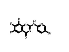 Fc1cc2c(=S)nc(Nc3ccc(Br)cn3)sc2c(F)c1F